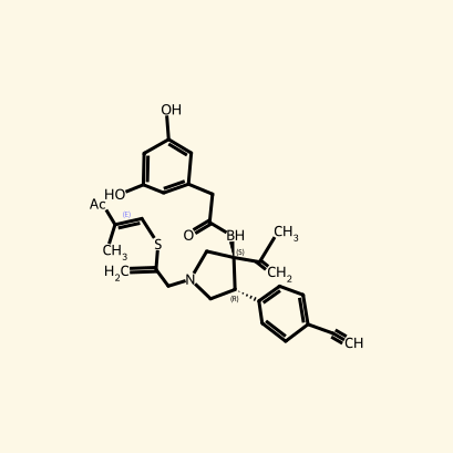 C#Cc1ccc([C@@H]2CN(CC(=C)S/C=C(\C)C(C)=O)C[C@]2(BC(=O)Cc2cc(O)cc(O)c2)C(=C)C)cc1